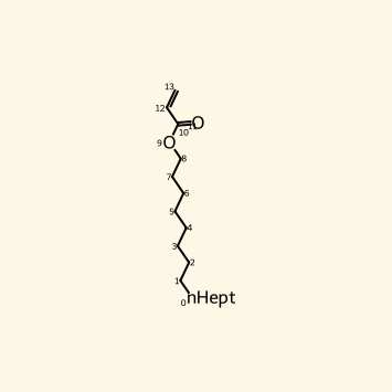 [CH2]CCCCCCCCCCCCCCOC(=O)C=C